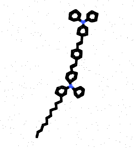 CCCCCCCCCCCc1cccc(N(c2ccccc2)c2ccc(/C=C/c3ccc(/C=C/c4ccc(N(c5ccccc5)c5ccccc5)cc4)cc3)cc2)c1